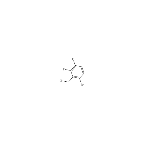 Fc1ccc(Br)c(CCl)c1F